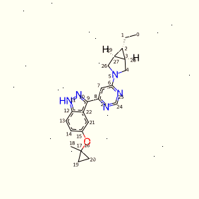 CC[C@@H]1[C@H]2CN(c3cc(-c4n[nH]c5ccc(OC6(C)CC6)cc45)ncn3)C[C@@H]12